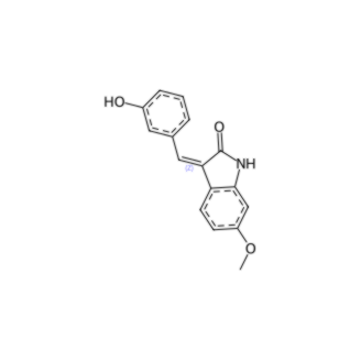 COc1ccc2c(c1)NC(=O)/C2=C\c1cccc(O)c1